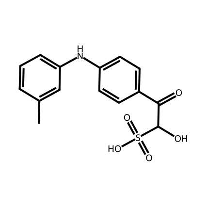 Cc1cccc(Nc2ccc(C(=O)C(O)S(=O)(=O)O)cc2)c1